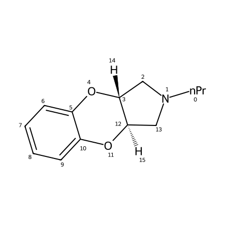 CCCN1C[C@H]2Oc3ccccc3O[C@@H]2C1